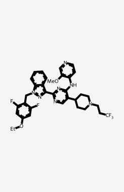 CCOc1cc(F)c(Cn2nc(-c3ncc(C4CCN(CCC(F)(F)F)CC4)c(Nc4ccncc4OC)n3)c3ccccc32)c(F)c1